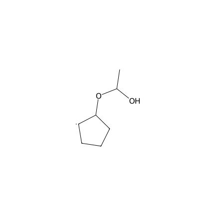 CC(O)OC1[CH]CCC1